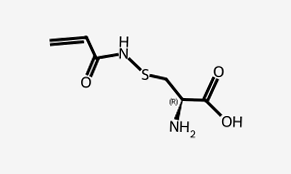 C=CC(=O)NSC[C@H](N)C(=O)O